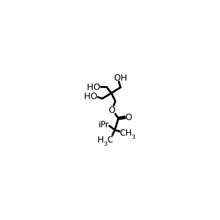 CC(C)C(C)(C)C(=O)OCC(CO)(CO)CO